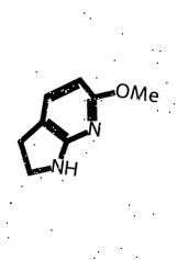 COc1ccc2c(n1)NCC2